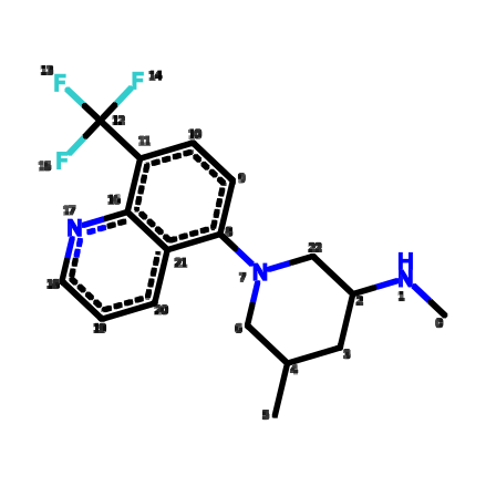 CNC1CC(C)CN(c2ccc(C(F)(F)F)c3ncccc23)C1